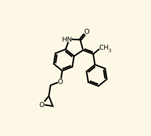 CC(=C1C(=O)Nc2ccc(OCC3CO3)cc21)c1ccccc1